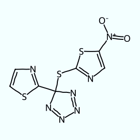 O=[N+]([O-])c1cnc(SC2(c3nccs3)N=NN=N2)s1